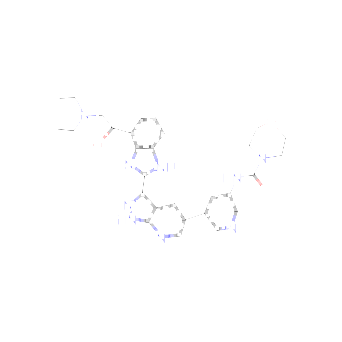 CCN(CC)CC(=O)c1cccc2[nH]c(-c3n[nH]c4ncc(-c5cncc(NC(=O)N6CCOCC6)c5)cc34)nc12